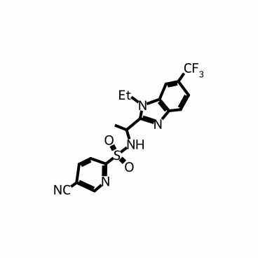 CCn1c(C(C)NS(=O)(=O)c2ccc(C#N)cn2)nc2ccc(C(F)(F)F)cc21